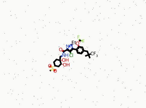 CCn1nc(C(=O)NC[C@]2(O)CC[C@@H](S(C)(=O)=O)C[C@H]2O)c(Cl)c1-c1ccc(CC(C)(C)C(F)(F)F)cc1OC(F)F